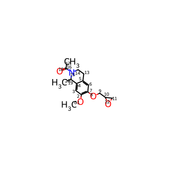 COc1cc2c(cc1OCC1CO1)CCN(C(C)=O)C2C